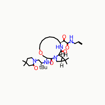 C=CCNC(=O)C(=O)[C@@H]1CCCCCCCOC[C@H](N[C@H](CN2CCC(C)(C)CC2=O)C(C)(C)C)C(=O)N2C[C@H]3[C@@H]([C@H]2C(=O)N1)C3(C)C